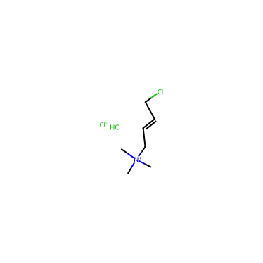 C[N+](C)(C)C/C=C/CCl.Cl.[Cl-]